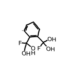 OC(O)(F)c1[c]cccc1C(O)(O)F